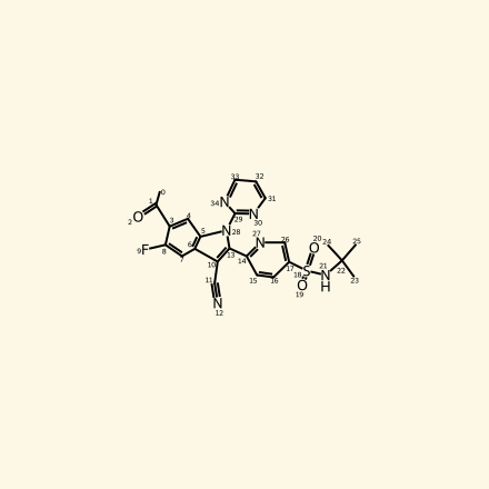 CC(=O)c1cc2c(cc1F)c(C#N)c(-c1ccc(S(=O)(=O)NC(C)(C)C)cn1)n2-c1ncccn1